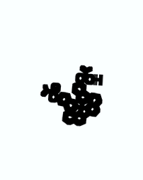 C=C(C)C(=O)Oc1ccc2cc(C3(c4ccc5cc(OC(O)C(=C)C)ccc5c4)c4c(ccc5ccccc45)-c4ccc5ccccc5c43)ccc2c1